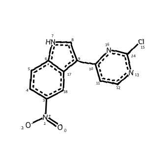 O=[N+]([O-])c1ccc2[nH]cc(-c3ccnc(Cl)n3)c2c1